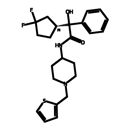 O=C(NC1CCN(Cc2cccs2)CC1)C(O)(c1ccccc1)[C@@H]1CCC(F)(F)C1